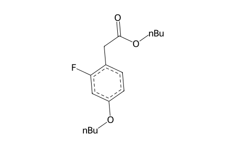 CCCCOC(=O)Cc1ccc(OCCCC)cc1F